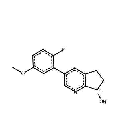 COc1ccc(F)c(-c2cnc3c(c2)CC[C@@H]3O)c1